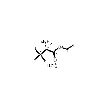 CCOC(=O)[C@@H](N)C(C)(C)C.Cl